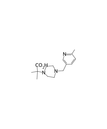 Cc1ccc(CN2CCN(C(C)(C)C(=O)O)CC2)cn1